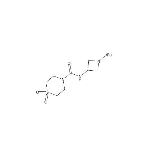 CC(C)(C)N1CC(NC(=O)N2CCS(=O)(=O)CC2)C1